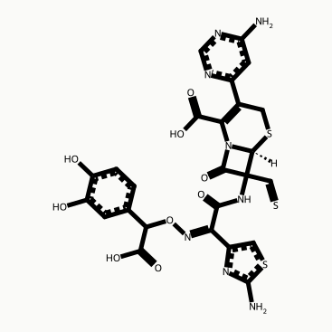 Nc1cc(C2=C(C(=O)O)N3C(=O)C(C=S)(NC(=O)/C(=N\OC(C(=O)O)c4ccc(O)c(O)c4)c4csc(N)n4)[C@@H]3SC2)ncn1